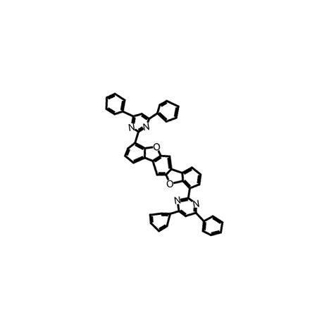 c1ccc(-c2cc(-c3ccccc3)nc(-c3cccc4c3oc3cc5c(cc34)oc3c(-c4nc(-c6ccccc6)cc(-c6ccccc6)n4)cccc35)n2)cc1